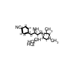 C[C@H]1CN(C)CCN1CC[C@H](N)Cc1ccc(C#N)cc1.Cl.Cl.Cl